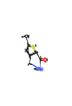 N#Cc1cc2c(s1)C(=O)NC2